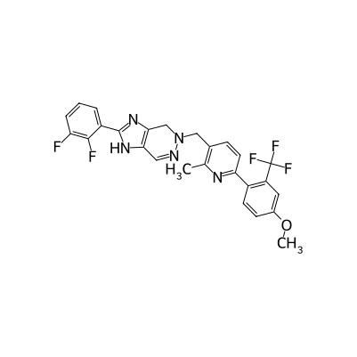 COc1ccc(-c2ccc(CN3Cc4nc(-c5cccc(F)c5F)[nH]c4C=N3)c(C)n2)c(C(F)(F)F)c1